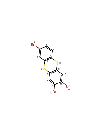 Brc1ccc2c(c1)Sc1cc(Br)c(Br)cc1S2